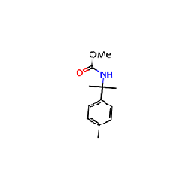 COC(=O)NC(C)(C)c1ccc(C)cc1